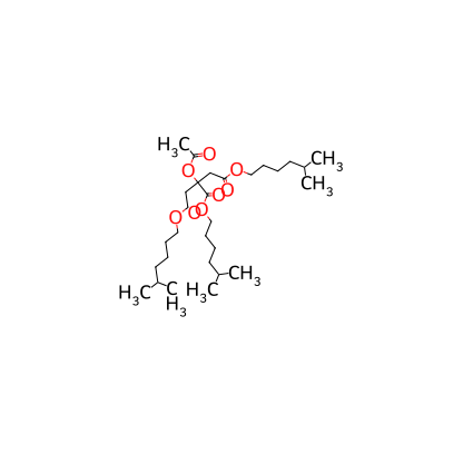 CC(=O)OC(CC(=O)OCCCCC(C)C)(CC(=O)OCCCCC(C)C)C(=O)OCCCCC(C)C